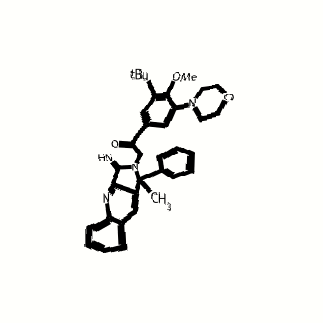 COc1c(N2CCOCC2)cc(C(=O)CN2C(=N)c3nc4ccccc4cc3C2(C)c2ccccc2)cc1C(C)(C)C